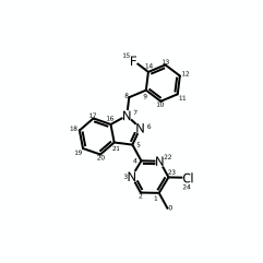 Cc1cnc(-c2nn(Cc3ccccc3F)c3ccccc23)nc1Cl